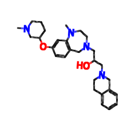 CN1CCCC(Oc2ccc3c(c2)N(C)CCN(CC(O)CN2CCc4ccccc4C2)C3)C1